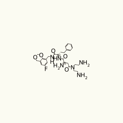 NCCN(CCN)C(=O)C[C@H](N)C(=O)N[C@@H](CCc1ccccc1)C(=O)NCc1cc(F)cc2c1OCOC2